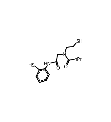 CCCC(=O)N(CCS)CC(=O)Nc1ccccc1S